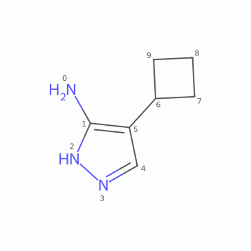 Nc1[nH]ncc1C1CCC1